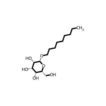 CCCCCCCCCO[C@@H]1O[C@H](CO)[C@H](O)[C@H](O)[C@@H]1O